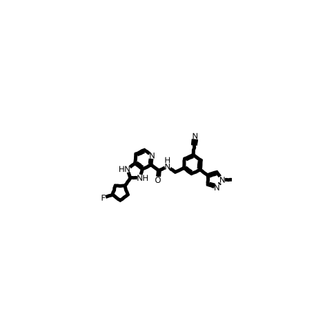 Cn1cc(-c2cc(C#N)cc(CNC(=O)c3nccc4c3NC(C3CCC(F)C3)N4)c2)cn1